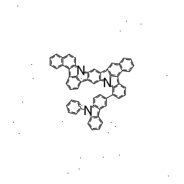 c1ccc(-n2c3ccccc3c3cc(-c4cccc5c6c7ccccc7cc7c8cc9c(cc8n(c45)c76)c4cccc5c6c7ccccc7ccc6n9c45)ccc32)cc1